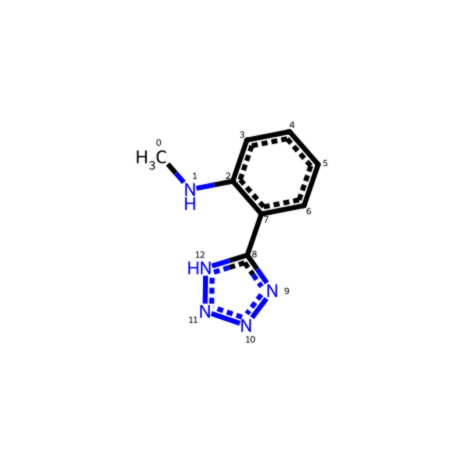 CNc1ccccc1-c1nnn[nH]1